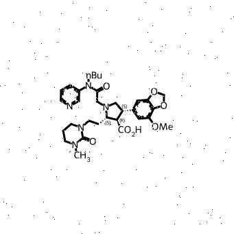 CCCCN(C(=O)CN1C[C@H](c2cc(OC)c3c(c2)OCO3)[C@@H](C(=O)O)[C@@H]1CCN1CCCN(C)C1=O)c1cccnc1